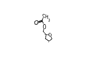 CC(=O)OC[C]1C[CH]CO1